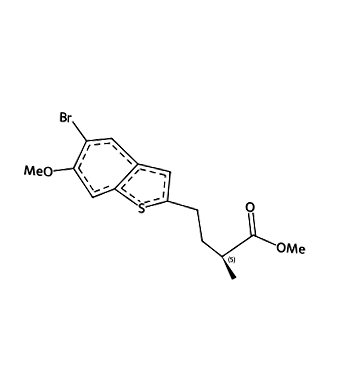 COC(=O)[C@@H](C)CCc1cc2cc(Br)c(OC)cc2s1